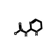 O=[N+]([O-])NC1N=CCCN1